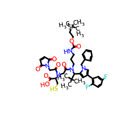 CC(C)(C)C(c1cc(-c2cc(F)ccc2F)cn1Cc1ccccc1)N(CCCNC(=O)OCC[Si](C)(C)C)C(=O)CN(C(=O)CN1C(=O)C=CC1=O)C(CS)C(=O)O